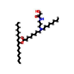 CCCCCCCCC(CCCCCCCC)OC(=O)CCCCCCCN(CCCCCCCC)CCCNC(=O)CO